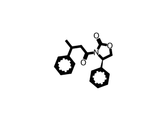 CC(CC(=O)N1C(=O)OC[C@H]1c1ccccc1)c1ccccc1